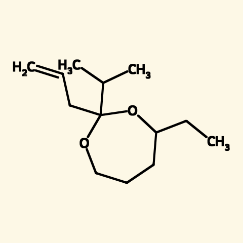 C=CCC1(C(C)C)OCCCC(CC)O1